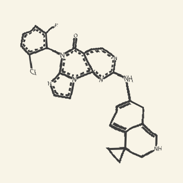 O=c1c2cnc(NC3=CC=C4C(=CNCC45CC5)C3)nc2n2ccnc2n1-c1c(F)cccc1Cl